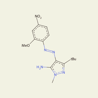 COc1cc([N+](=O)[O-])ccc1N=Nc1c(C(C)(C)C)nn(C)c1N